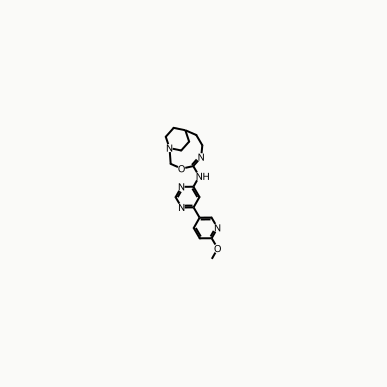 COc1ccc(-c2cc(N/C3=N/CCC4CCN(CC4)CO3)ncn2)cn1